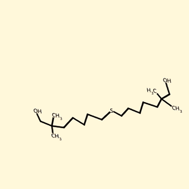 CC(C)(CO)CCCCCSCCCCCC(C)(C)CO